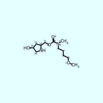 COCCCCN(C)C(=O)OCC1CC(O)CN1